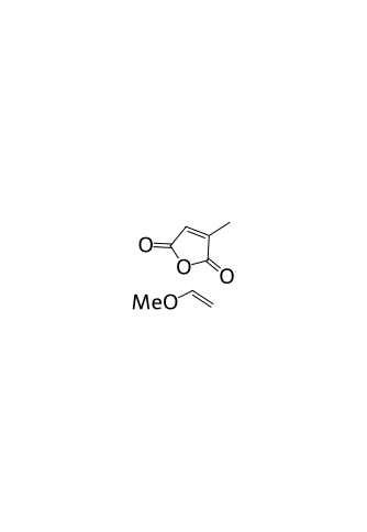 C=COC.CC1=CC(=O)OC1=O